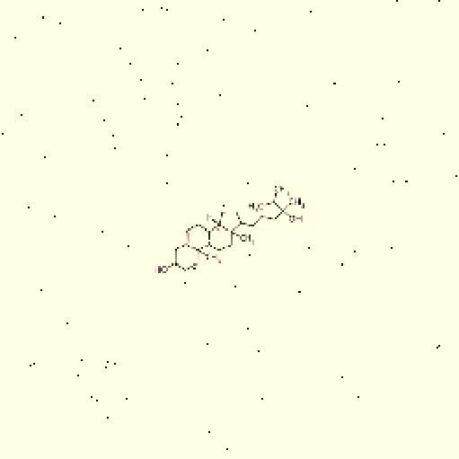 CC(C)C(C)(O)CCCC1CC[C@H]2C3CC=C4CC(O)CCC4(C)C3CCC12C